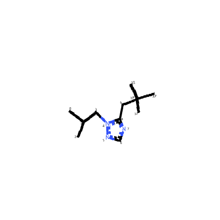 CC(C)Cn1ncnc1CC(C)(C)C